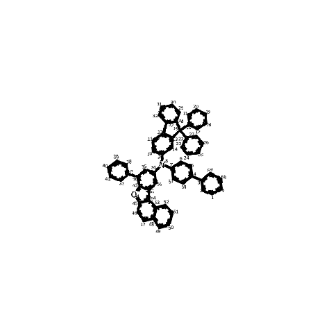 c1ccc(-c2ccc(N(c3ccc4c(c3)C(c3ccccc3)(c3ccccc3)c3ccccc3-4)c3cc(-c4ccccc4)c4oc5ccc6ccccc6c5c4c3)cc2)cc1